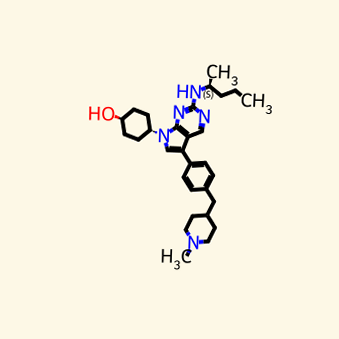 CCC[C@H](C)Nc1ncc2c(-c3ccc(CC4CCN(C)CC4)cc3)cn([C@H]3CC[C@H](O)CC3)c2n1